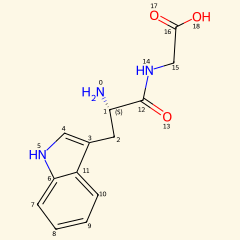 N[C@@H](Cc1c[nH]c2ccccc12)C(=O)NCC(=O)O